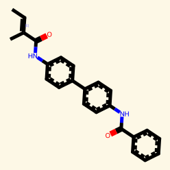 C/C=C(\C)C(=O)Nc1ccc(-c2ccc(NC(=O)c3ccccc3)cc2)cc1